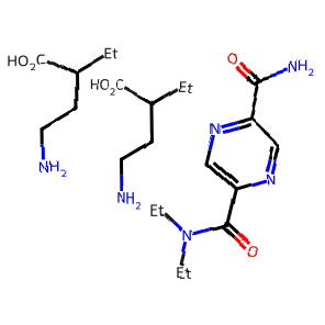 CCC(CCN)C(=O)O.CCC(CCN)C(=O)O.CCN(CC)C(=O)c1cnc(C(N)=O)cn1